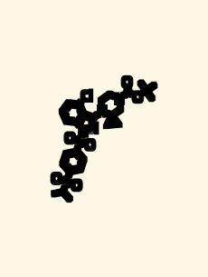 CC(C)S(=O)(=O)c1ccc(S(=O)(=O)n2nc(N3CCN(C(=O)OC(C)(C)C)CC34CC4)c3c(Cl)cccc32)cc1